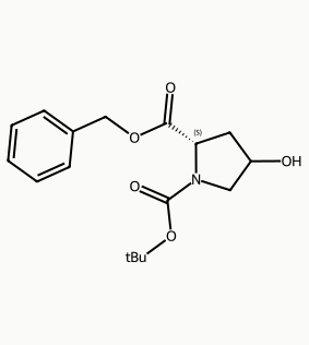 CC(C)(C)OC(=O)N1CC(O)C[C@H]1C(=O)OCc1ccccc1